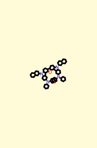 c1ccc(N(c2ccccc2)c2ccc3c(c2)c2c4oc5c(ccc6c5c5cc(N(c7ccccc7)c7ccccc7)ccc5n6-c5ccc6ccccc6c5)c4ccc2n3-c2ccc3ccccc3c2)cc1